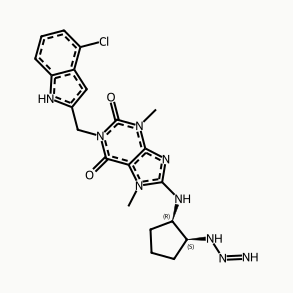 Cn1c(N[C@@H]2CCC[C@@H]2NN=N)nc2c1c(=O)n(Cc1cc3c(Cl)cccc3[nH]1)c(=O)n2C